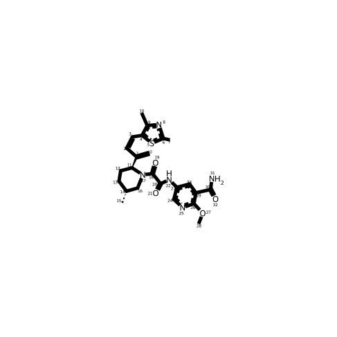 C=C(/C=C\c1sc(C)nc1C)[C@@H]1CC[C@@H](C)CN1C(=O)C(=O)Nc1cnc(OC)c(C(N)=O)c1